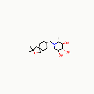 C[C@@H]1[C@@H](O)[C@H](O)[C@@H](O)CN1C[C@H]1CC[C@]2(CC1)COC(C)(C)C2